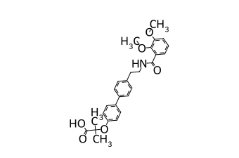 COc1cccc(C(=O)NCCc2ccc(-c3ccc(OC(C)(C)C(=O)O)cc3)cc2)c1OC